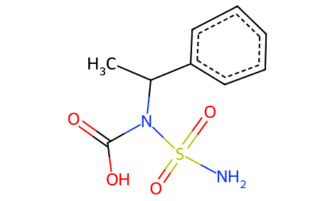 CC(c1ccccc1)N(C(=O)O)S(N)(=O)=O